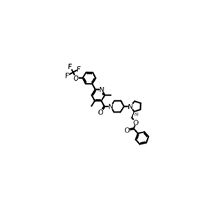 Cc1cc(-c2cccc(OC(F)(F)F)c2)nc(C)c1C(=O)N1CCC(N2CCC[C@H]2COC(=O)c2ccccc2)CC1